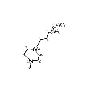 CN1CCN(CCCN[C]=O)CC1